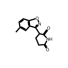 Cc1ccc2onc(C3CCC(=O)NC3=O)c2c1